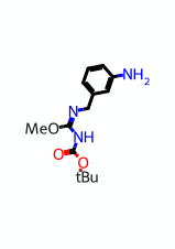 CO/C(=N/Cc1cccc(N)c1)NC(=O)OC(C)(C)C